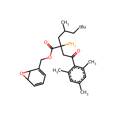 Cc1cc(C)c(C(=O)CC(P)(CC(C)CC(C)(C)C)C(=O)OCC2=CC=CC3OC23)c(C)c1